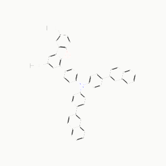 Cc1ccc2oc3c(-c4ccc(N(c5ccc(-c6ccc7ccccc7c6)cc5)c5ccc(-c6ccc7ccccc7c6)cc5)cc4)cc(C)cc3c2c1